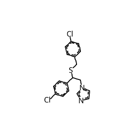 Clc1ccc(CSC(Cn2ccnc2)c2ccc(Cl)cc2)cc1